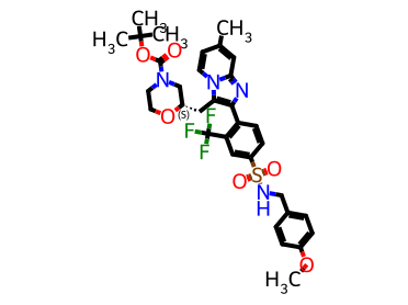 COc1ccc(CNS(=O)(=O)c2ccc(-c3nc4cc(C)ccn4c3C[C@H]3CN(C(=O)OC(C)(C)C)CCO3)c(C(F)(F)F)c2)cc1